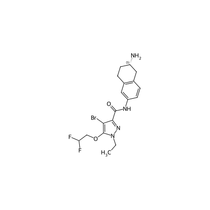 CCn1nc(C(=O)Nc2ccc3c(c2)CC[C@H](N)C3)c(Br)c1OCC(F)F